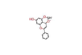 Oc1cc2c3c(c1)OC(c1ccccc1)=CC3=[O+][SiH-]O2